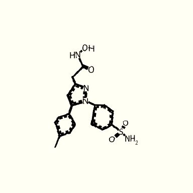 Cc1ccc(-c2cc(CC(=O)NO)nn2-c2ccc(S(N)(=O)=O)cc2)cc1